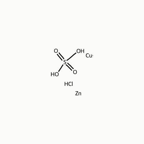 Cl.O=S(=O)(O)O.[Cu].[Zn]